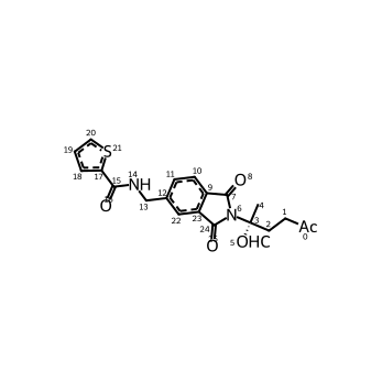 CC(=O)CC[C@@](C)(C=O)N1C(=O)c2ccc(CNC(=O)c3cccs3)cc2C1=O